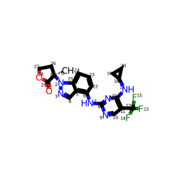 C[C@@]1(n2ncc3c(Nc4ncc(C(F)(F)F)c(NC5CC5)n4)cccc32)CCOC1=O